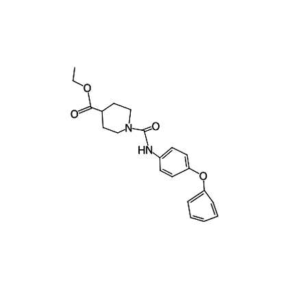 CCOC(=O)C1CCN(C(=O)Nc2ccc(Oc3ccccc3)cc2)CC1